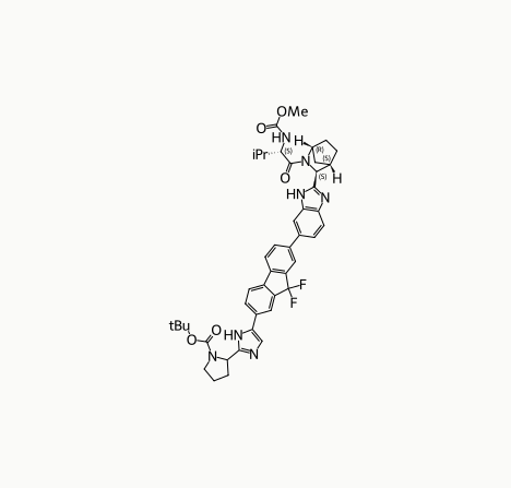 COC(=O)N[C@H](C(=O)N1[C@@H]2CC[C@@H](C2)[C@H]1c1nc2ccc(-c3ccc4c(c3)C(F)(F)c3cc(-c5cnc(C6CCCN6C(=O)OC(C)(C)C)[nH]5)ccc3-4)cc2[nH]1)C(C)C